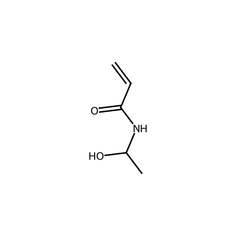 C=CC(=O)NC(C)O